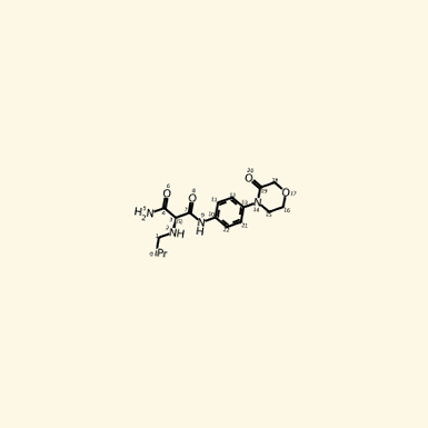 CC(C)CN[C@@H](C(N)=O)C(=O)Nc1ccc(N2CCOCC2=O)cc1